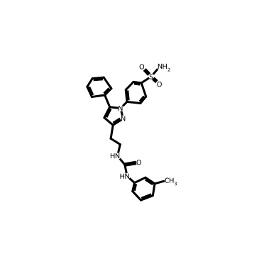 Cc1cccc(NC(=O)NCCc2cc(-c3ccccc3)n(-c3ccc(S(N)(=O)=O)cc3)n2)c1